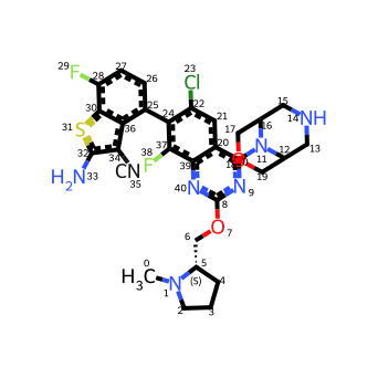 CN1CCC[C@H]1COc1nc(N2C3CNCC2COC3)c2cc(Cl)c(-c3ccc(F)c4sc(N)c(C#N)c34)c(F)c2n1